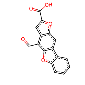 O=Cc1c2cc(C(=O)O)oc2cc2c1oc1ccccc12